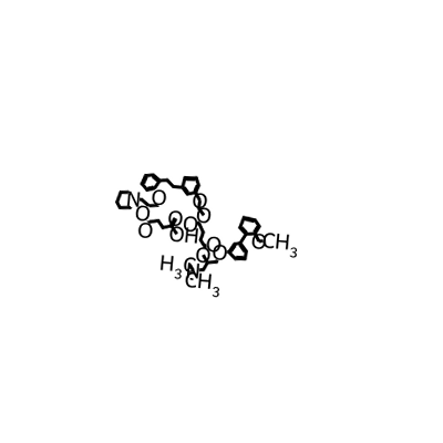 COc1ccccc1-c1cccc(OCC(CN(C)C)OC(=O)CCC(=O)OCOc2cccc(CCc3ccccc3OCC(CN3CCCCC3)OC(=O)CCC(=O)O)c2)c1